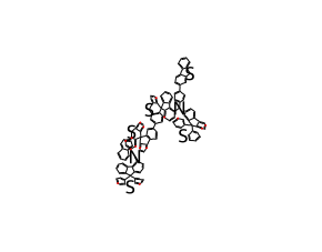 c1ccc2c(c1)Sc1ccccc1C21c2ccccc2-c2ccc(N(c3ccc(-c4ccc5c(c4)sc4ccccc45)cc3)c3cccc4c3-c3ccccc3C43c4ccccc4Sc4cc(-c5ccc6c(c5)C5(c7ccccc7Sc7ccccc75)c5cc(N(c7cccc8c7-c7ccccc7C87c8ccccc8Sc8ccccc87)c7cccc8ccccc78)ccc5-6)ccc43)cc21